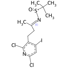 C/C(CCc1c(I)cc(Cl)nc1Cl)=N\[S+]([O-])C(C)(C)C